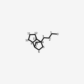 CC[CH]CC12CCC(C1)C1CCCC12